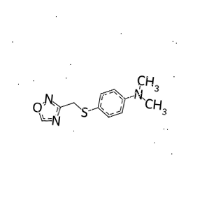 CN(C)c1ccc(SCc2ncon2)cc1